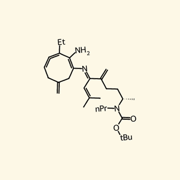 C=C1CC=C=C(CC)/C(N)=C(/N=C(\C=C(C)C)C(=C)CC[C@H](C)N(CCC)C(=O)OC(C)(C)C)C1